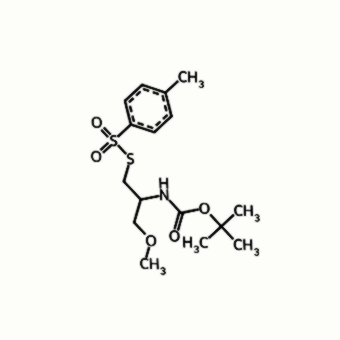 COCC(CSS(=O)(=O)c1ccc(C)cc1)NC(=O)OC(C)(C)C